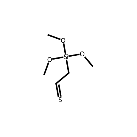 CO[Si](CC=S)(OC)OC